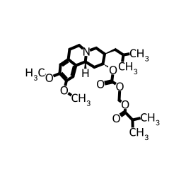 COc1cc2c(cc1OC)[C@H]1C[C@@H](OC(=O)OCOC(=O)C(C)C)[C@H](CC(C)C)CN1CC2